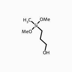 CO[Si](C)(CCCO)OC